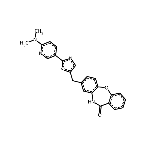 CN(C)c1ccc(-c2ncc(Cc3ccc4c(c3)NC(=O)c3ccccc3O4)s2)cn1